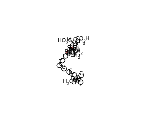 C1CCCCCCCCC1.C1CCCCCCCCC1.C1CCCCCCCCC1.C1CCCCCCCCC1.C1CCCCCCCCC1.C=C(C)C(=O)O.C=C(C)C(=O)OC1CC2CCC1(C)C2(C)C.C=C(C)C(=O)OCC(OC1CCCCCCCCC1)(OC1CCCCCCCCC1)OC1CCCCCCCCC1.C=CC(=O)OC1CC2CCC1(C)C2(C)C.O=C(O)C=CC1CCCCCCCCC1